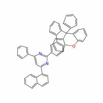 c1ccc(-c2cc(-c3cccc4ccccc34)nc(-c3cccc(-c4ccccc4C4(c5ccccc5)c5ccccc5Oc5ccccc54)c3)n2)cc1